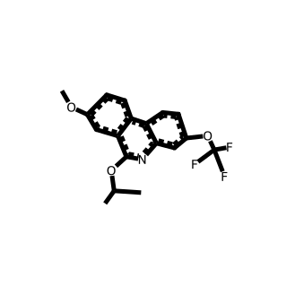 COc1ccc2c(c1)c(OC(C)C)nc1cc(OC(F)(F)F)ccc12